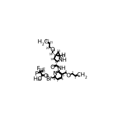 C=CCOCc1ccc(Br)nc1NC(=O)[C@@H]1C[C@@]2(COCC=C)C[C@@H]2N1.O=C(O)C(F)(F)F